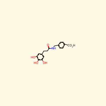 O=C(CCc1cc(O)c(O)c(O)c1)NCc1ccc(C(=O)O)cc1